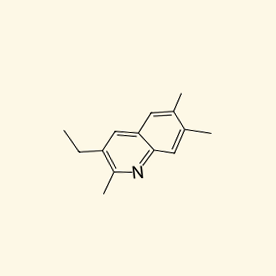 CCc1cc2cc(C)c(C)cc2nc1C